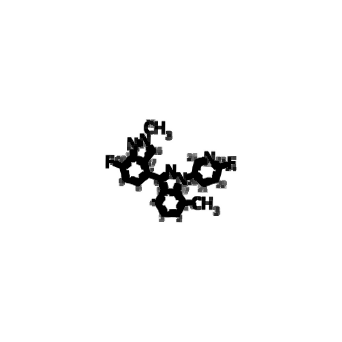 Cc1cccc2c(-c3ccc(F)c4nn(C)cc34)nn(-c3ccc(F)nc3)c12